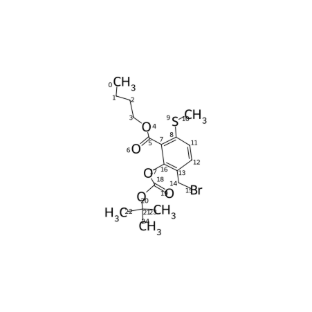 CCCCOC(=O)c1c(SC)ccc(CBr)c1OC(=O)OC(C)(C)C